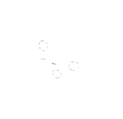 Cc1c(F)nc(Oc2ccc(OC(C)C(C#N)C(=O)Oc3ccccc3)cc2)c(F)c1F